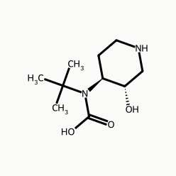 CC(C)(C)N(C(=O)O)[C@H]1CCNC[C@@H]1O